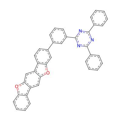 c1ccc(-c2nc(-c3ccccc3)nc(-c3cccc(-c4ccc5c(c4)oc4cc6c(cc45)oc4ccccc46)c3)n2)cc1